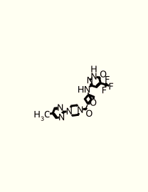 Cc1cnc(N2CCN(C(=O)[C@]34C[C@](Nc5cc(C(F)(F)F)c(=O)[nH]n5)(CO3)C4)CC2)nc1